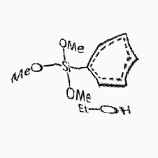 CCO.CO[Si](OC)(OC)c1ccccc1